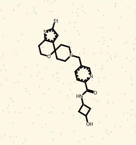 CCc1cc2c(s1)CCOC21CCN(Cc2ccc(C(=O)NC3CC(O)C3)nc2)CC1